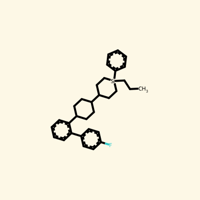 CCC[Si]1(c2ccccc2)CCC(C2CCC(c3ccccc3-c3ccc(F)cc3)CC2)CC1